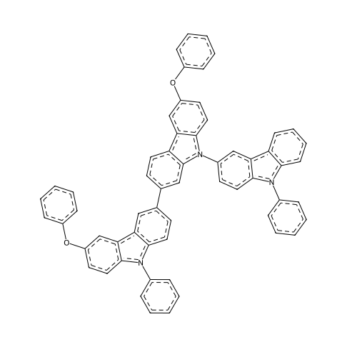 c1ccc(Oc2ccc3c(c2)c2cc(-c4ccc5c6cc(Oc7ccccc7)ccc6n(-c6ccc7c(c6)c6ccccc6n7-c6ccccc6)c5c4)ccc2n3-c2ccccc2)cc1